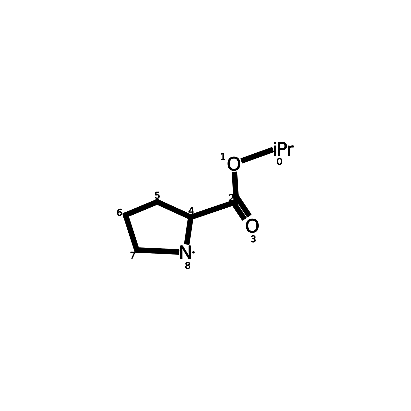 CC(C)OC(=O)C1CCC[N]1